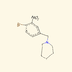 O=[N+]([O-])c1cc(CN2CC[CH]CC2)ccc1Br